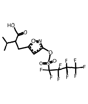 CC(C)C(Cc1cc(OS(=O)(=O)C(F)(F)C(F)(F)C(F)(F)C(F)(F)F)no1)C(=O)O